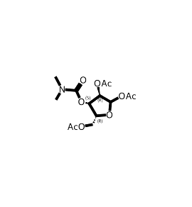 CC(=O)OC[C@H]1OC(OC(C)=O)[C@H](OC(C)=O)[C@H]1OC(=O)N(C)C